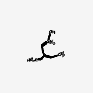 CC=C(C[SiH2]O)C(=O)O